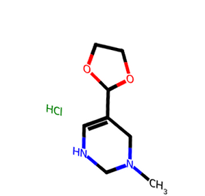 CN1CNC=C(C2OCCO2)C1.Cl